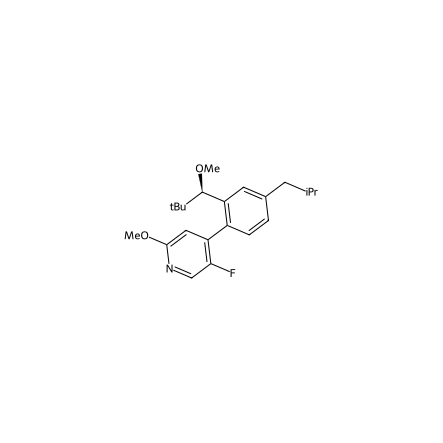 COc1cc(-c2ccc(CC(C)C)cc2[C@H](OC)C(C)(C)C)c(F)cn1